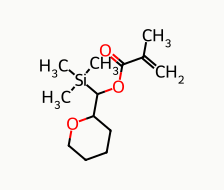 C=C(C)C(=O)OC(C1CCCCO1)[Si](C)(C)C